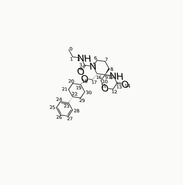 CCNC(=O)N1CCC[C@@]2(COCC(=O)N2)[C@@H]1CO[C@H]1CC[C@@H](c2ccccc2)CC1